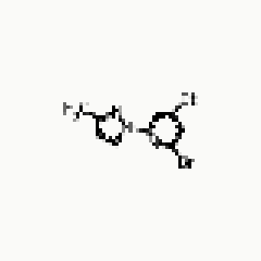 CCc1cc(Br)nc(-n2ccc(C(F)(F)F)n2)c1